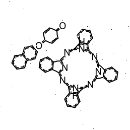 O=C1C=CC(=O)C=C1.c1ccc2c(c1)-c1nc-2nc2[nH]c(nc3nc(nc4[nH]c(n1)c1ccccc41)-c1ccccc1-3)c1ccccc21.c1ccc2ccccc2c1